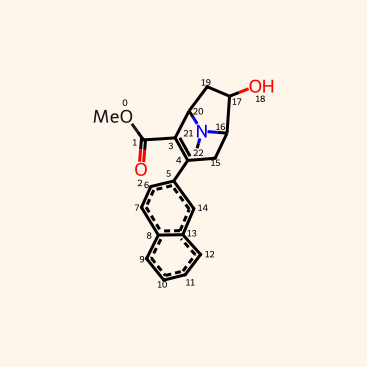 COC(=O)C1=C(c2ccc3ccccc3c2)CC2C(O)CC1N2C